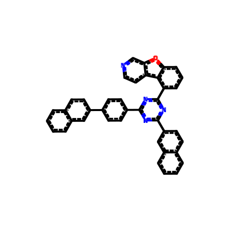 c1ccc2cc(-c3ccc(-c4nc(-c5ccc6ccccc6c5)nc(-c5cccc6oc7cnccc7c56)n4)cc3)ccc2c1